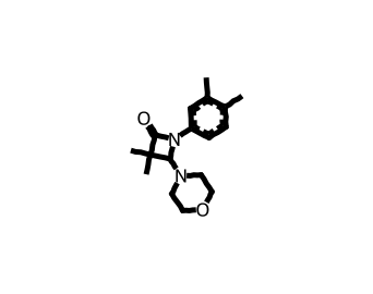 Cc1ccc(N2C(=O)C(C)(C)C2N2CCOCC2)cc1C